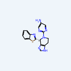 Nc1cnc(N2CCc3[nH]cnc3[C@@H]2c2nc3ccccc3s2)nc1